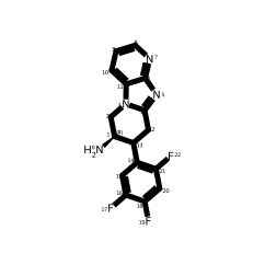 N[C@H]1Cn2c(nc3ncccc32)CC1c1cc(F)c(F)cc1F